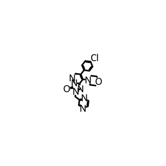 O=c1n(Cc2cnccn2)nc2c(N3CCOCC3)c(-c3ccc(Cl)cc3)cnn12